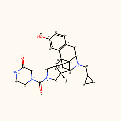 O=C1CN(C(=O)N2C[C@H]3CC45CCC2C3C42CCN(CC3CC3)C5Cc3ccc(O)cc32)CCN1